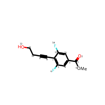 COC(=O)c1cc(F)c(C#CCCO)c(F)c1